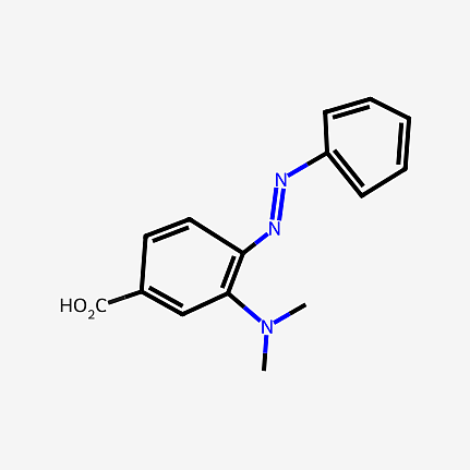 CN(C)c1cc(C(=O)O)ccc1/N=N/c1ccccc1